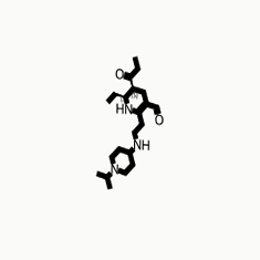 CCC(=O)[C@H]1CC(C=O)=C(CCNC2CCN(C(C)C)CC2)N[C@H]1CC